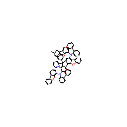 CC1C=Cc2oc3c(N(c4ccccc4-c4ccccc4)c4cc5c(c6oc7ccccc7c46)-c4ccc(N(c6ccccc6-c6ccccc6)c6cccc7c6oc6ccccc67)cc4C5(c4ccccc4)c4ccccn4)cccc3c2C1